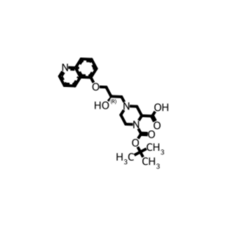 CC(C)(C)OC(=O)N1CCN(C[C@@H](O)COc2cccc3ncccc23)CC1C(=O)O